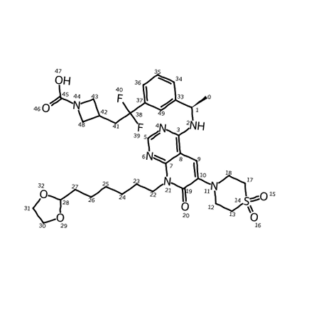 C[C@@H](Nc1ncnc2c1cc(N1CCS(=O)(=O)CC1)c(=O)n2CCCCCCC1OCCO1)c1cccc(C(F)(F)CC2CN(C(=O)O)C2)c1